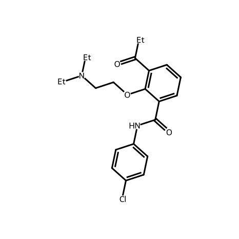 CCC(=O)c1cccc(C(=O)Nc2ccc(Cl)cc2)c1OCCN(CC)CC